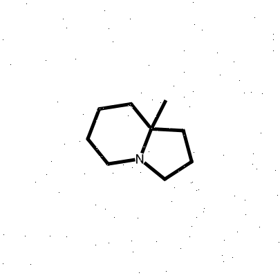 CC12CCCCN1CCC2